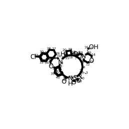 C[C@@H]1[C@@H](C)CCC[C@@](O)(CN2CCOC[C@H]2CO)[C@@H]2CC[C@H]2CN2C[C@@]3(CCCc4cc(Cl)ccc43)COc3ccc(cc32)C(=O)NS1(=O)=O